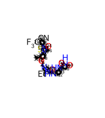 CC[C@H]1CN(CCOc2ccc(N3C(=S)N(c4ccc(C#N)c(C(F)(F)F)c4)C(=O)C3(C)C)cc2C2CC2)CCN1CC(=O)Nc1cccc(NC2CCC(=O)NC2=O)c1